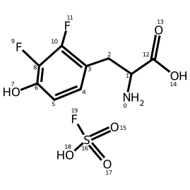 NC(Cc1ccc(O)c(F)c1F)C(=O)O.O=S(=O)(O)F